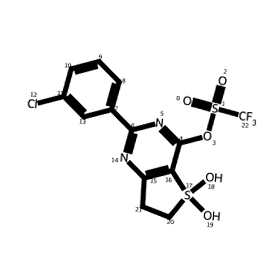 O=S(=O)(Oc1nc(-c2cccc(Cl)c2)nc2c1S(O)(O)CC2)C(F)(F)F